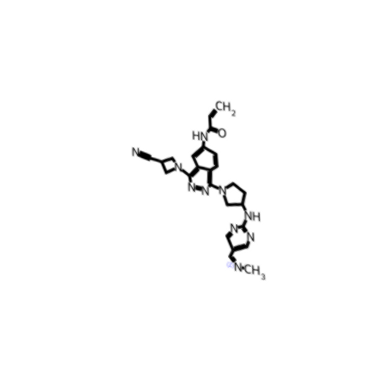 C=CC(=O)Nc1ccc2c(N3CCC(Nc4ncc(/C=N\C)cn4)C3)nnc(N3CC(C#N)C3)c2c1